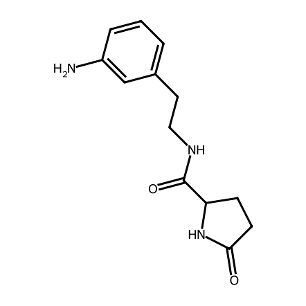 Nc1cccc(CCNC(=O)C2CCC(=O)N2)c1